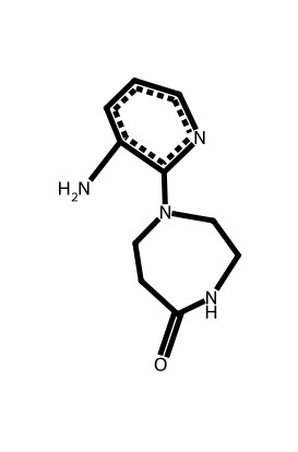 Nc1cccnc1N1CCNC(=O)CC1